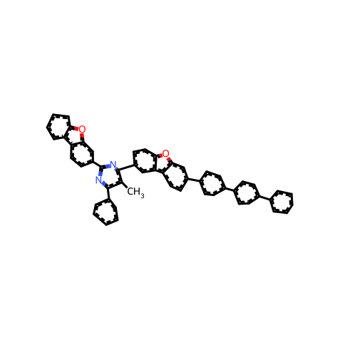 Cc1c(-c2ccccc2)nc(-c2ccc3c(c2)oc2ccccc23)nc1-c1ccc2oc3cc(-c4ccc(-c5ccc(-c6ccccc6)cc5)cc4)ccc3c2c1